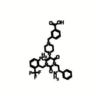 Cc1c(N2CCN(Cc3cccc(C(=O)O)c3)CC2)c(=O)n(C[C@@H](N)c2ccccc2)c(=O)n1Cc1c(F)cccc1C(F)(F)F